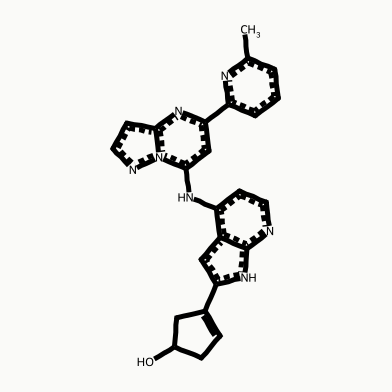 Cc1cccc(-c2cc(Nc3ccnc4[nH]c(C5=CCC(O)C5)cc34)n3nccc3n2)n1